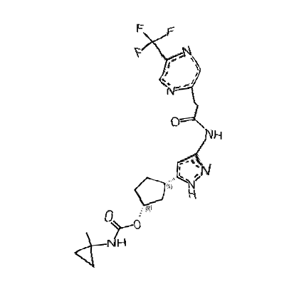 CC1(NC(=O)O[C@@H]2CC[C@H](c3cc(NC(=O)Cc4cnc(C(F)(F)F)cn4)n[nH]3)C2)CC1